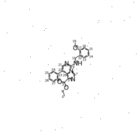 CCOC(=O)c1ncn2c(NCc3ccccc3OC)ncc(-c3ccccc3)c12